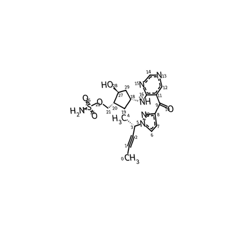 CC#C[C@H](C)n1ccc(C(=O)c2cncnc2N[C@@H]2C[C@H](COS(N)(=O)=O)[C@@H](O)C2)n1